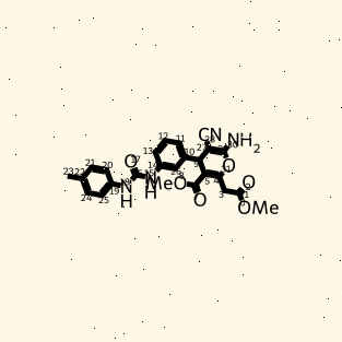 COC(=O)CC1=C(C(=O)OC)C(c2cccc(NC(=O)Nc3ccc(C)cc3)c2)C(C#N)=C(N)O1